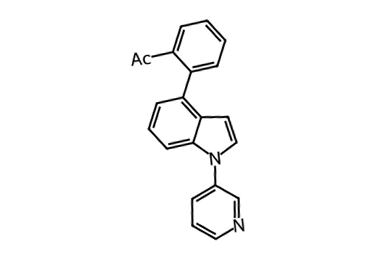 CC(=O)c1ccccc1-c1cccc2c1ccn2-c1cccnc1